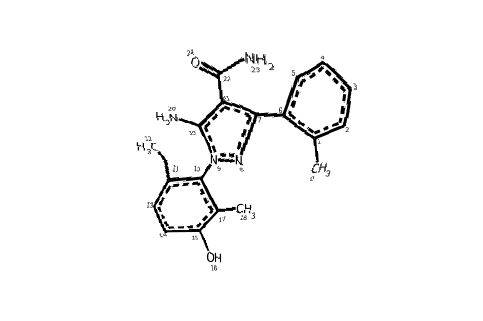 Cc1ccccc1-c1nn(-c2c(C)ccc(O)c2C)c(N)c1C(N)=O